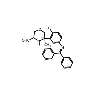 C[C@@]1(c2cc(N=C(c3ccccc3)c3ccccc3)ccc2F)COCC(C=O)N1